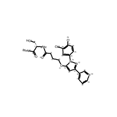 CNC(=O)[C@H](CO)NC(=O)CCCOc1cc(-c2cccnc2)nn1-c1ccc(Cl)c(Cl)c1